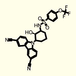 N#Cc1ccc2c(c1)c1cc(C#N)ccc1n2C1CCCC(NS(=O)(=O)c2ccc(OC(F)(F)F)cc2)[C@@H]1O